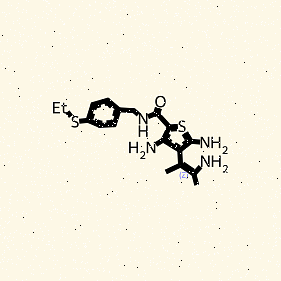 CCSc1ccc(CNC(=O)c2sc(N)c(/C(C)=C(/C)N)c2N)cc1